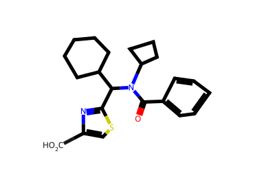 O=C(O)c1csc(C(C2CCCCC2)N(C(=O)c2ccccc2)C2CCC2)n1